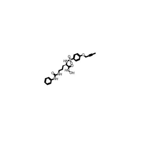 CC#CCOc1ccc(S(=O)(=O)N[C@H](CCCNC(=O)Nc2ccccc2)C(=O)NO)cc1